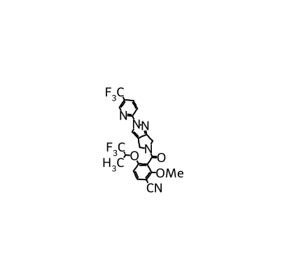 COc1c(C#N)ccc(O[C@@H](C)C(F)(F)F)c1C(=O)N1Cc2cn(-c3ccc(C(F)(F)F)cn3)nc2C1